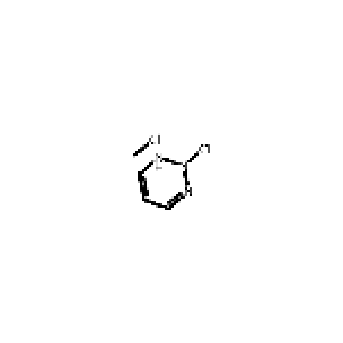 CCl.ClN1N=CC=CN1